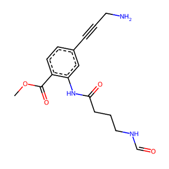 COC(=O)c1ccc(C#CCN)cc1NC(=O)CCCNC=O